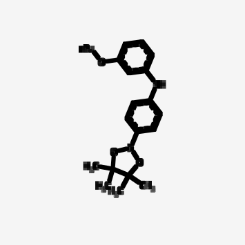 CCCCOc1cccc(Nc2ccc(B3OC(C)(C)C(C)(C)O3)cc2)c1